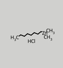 CCCCCCC[CH2][Zn]([CH3])[CH3].Cl